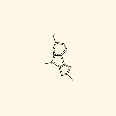 Cc1cc2c(s1)c1ccc(Br)cc1n2C